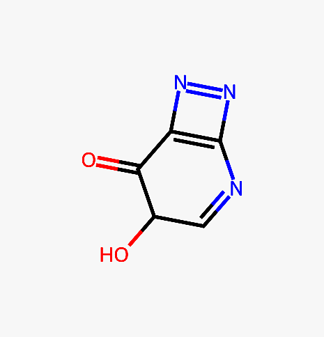 O=C1C2=C(N=CC1O)N=N2